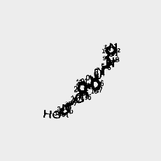 Cc1c(OCCCN(C)Cc2ccncc2)cccc1-c1cccc(OCCCN2CC[C@@H](O)C2)c1C